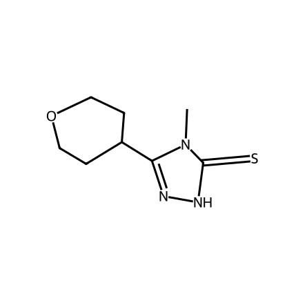 Cn1c(C2CCOCC2)n[nH]c1=S